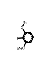 CCOc1cccc(OC)c1I